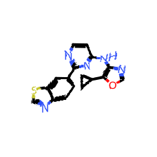 c1cc(Nc2ncoc2C2CC2)nc(-c2ccc3ncsc3c2)n1